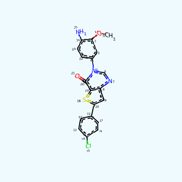 COc1cc(-n2cnc3cc(-c4ccc(Cl)cc4)sc3c2=O)ccc1N